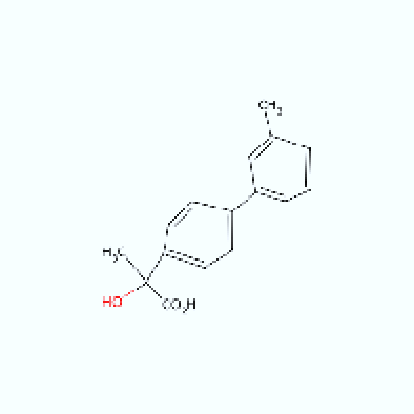 Cc1cccc(-c2ccc(C(C)(O)C(=O)O)cc2)c1